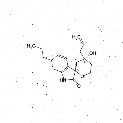 C=CC[C@@]1(O)CCO[C@]2(C1)C(=O)NC1=C2C=CC(CCC)C1